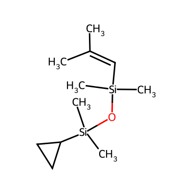 CC(C)=C[Si](C)(C)O[Si](C)(C)C1CC1